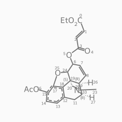 CCOC(=O)C=CC(=O)OC1C=C[C@H]2[C@H]3Cc4ccc(OC(C)=O)c5c4[C@@]2(CCN3C)C1O5